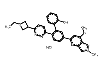 CCN1CC(c2ccc(-c3ccc(-c4cc(OC)c5nn(C)cc5n4)cc3-c3ccccc3O)nn2)C1.Cl